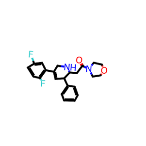 O=C(CC1NCC(c2cc(F)ccc2F)=CC1c1ccccc1)N1CCOCC1